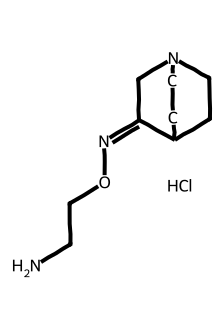 Cl.NCCON=C1CN2CCC1CC2